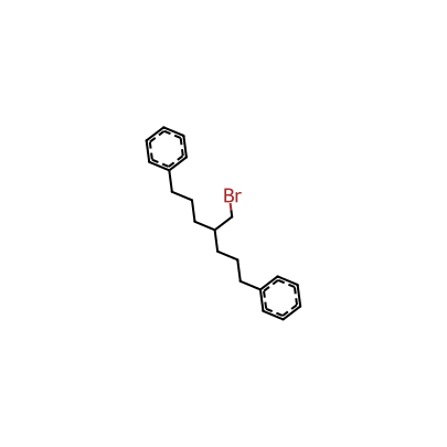 BrCC(CCCc1ccccc1)CCCc1ccccc1